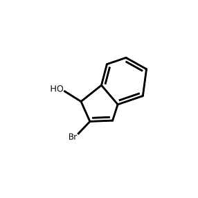 OC1C(Br)=Cc2ccccc21